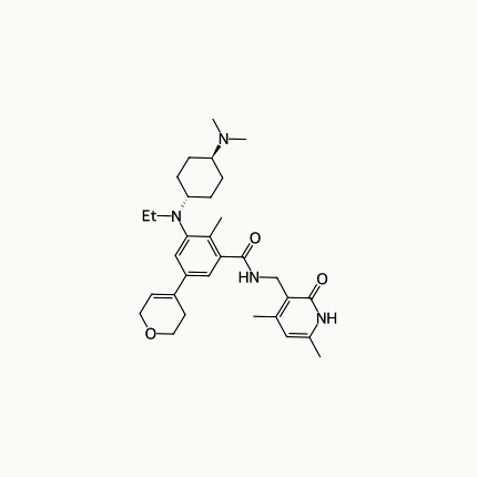 CCN(c1cc(C2=CCOCC2)cc(C(=O)NCc2c(C)cc(C)[nH]c2=O)c1C)[C@H]1CC[C@H](N(C)C)CC1